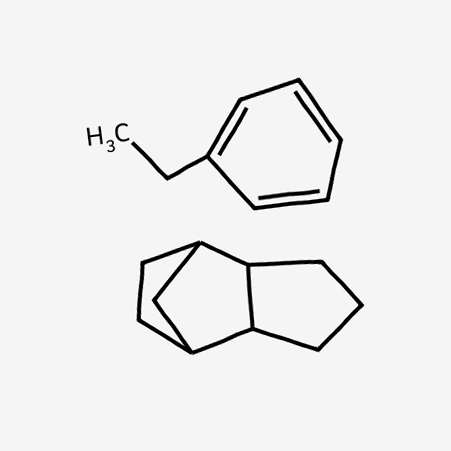 C1CC2C3CCC(C3)C2C1.CCc1ccccc1